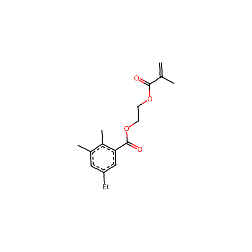 C=C(C)C(=O)OCCOC(=O)c1cc(CC)cc(C)c1C